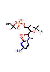 CCCC(C)(C)OC(C(C)COP(=O)(O)OC(C)(C)CCC)C(O)C(C)n1ccc(N)nc1=O